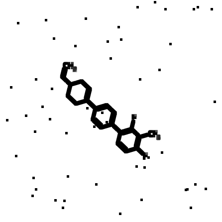 C=CC1CC=C(c2ccc(-c3ccc(F)c(C(F)(F)F)c3F)cc2)CC1